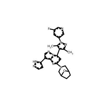 Cc1nn(-c2cncc(F)c2)c(C)c1-c1cc(N2CC3CCC(C2)O3)nc2c(-c3ccn[nH]3)cnn12